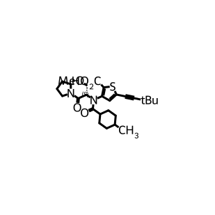 COC[C@@H](C(=O)N1CCCC1)N(C(=O)C1CCC(C)CC1)c1cc(C#CC(C)(C)C)sc1C(=O)O